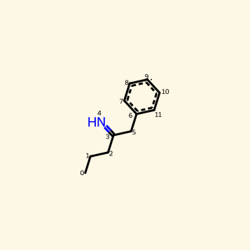 CCCC(=N)Cc1cc[c]cc1